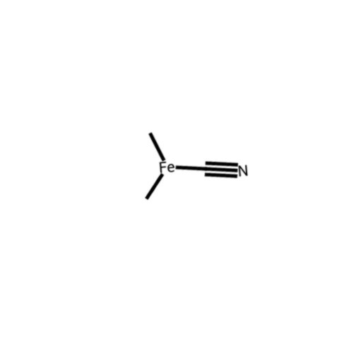 [CH3][Fe]([CH3])[C]#N